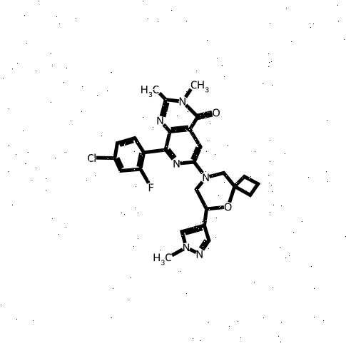 Cc1nc2c(-c3ccc(Cl)cc3F)nc(N3CC(c4cnn(C)c4)OC4(CCC4)C3)cc2c(=O)n1C